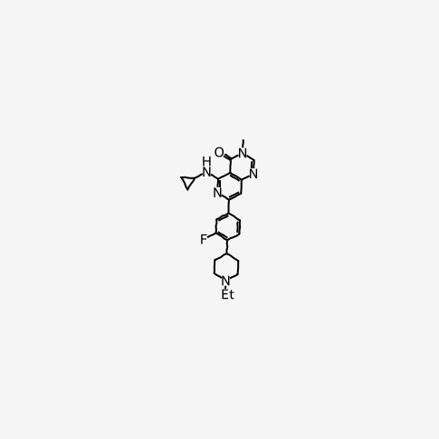 CCN1CCC(c2ccc(-c3cc4ncn(C)c(=O)c4c(NC4CC4)n3)cc2F)CC1